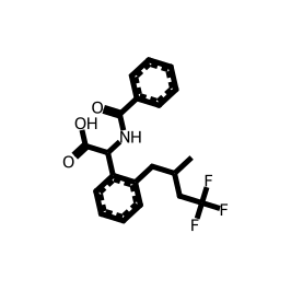 CC(Cc1ccccc1C(NC(=O)c1ccccc1)C(=O)O)CC(F)(F)F